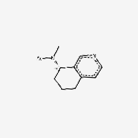 CC(=O)N(C)[C@H]1CCCc2ccncc21